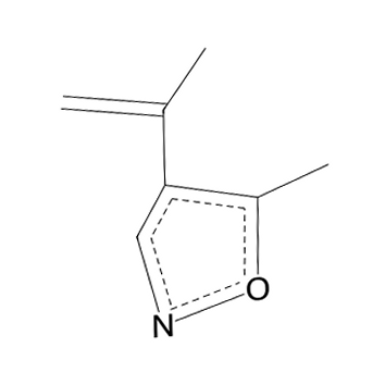 C=C(C)c1cnoc1C